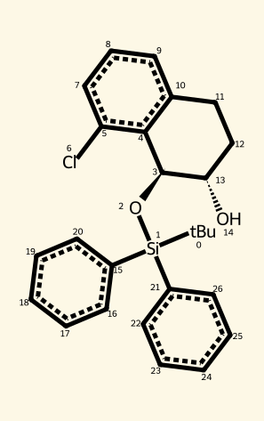 CC(C)(C)[Si](O[C@H]1c2c(Cl)cccc2CC[C@@H]1O)(c1ccccc1)c1ccccc1